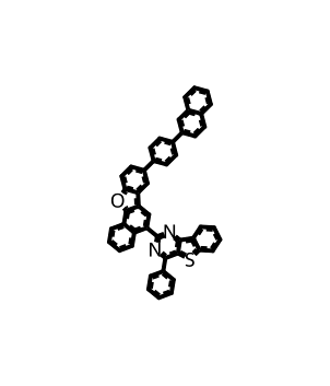 c1ccc(-c2nc(-c3cc4c5cc(-c6ccc(-c7ccc8ccccc8c7)cc6)ccc5oc4c4ccccc34)nc3c2sc2ccccc23)cc1